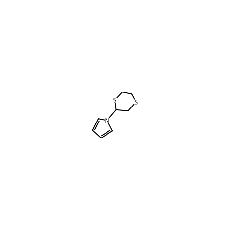 c1ccn(C2CSCCS2)c1